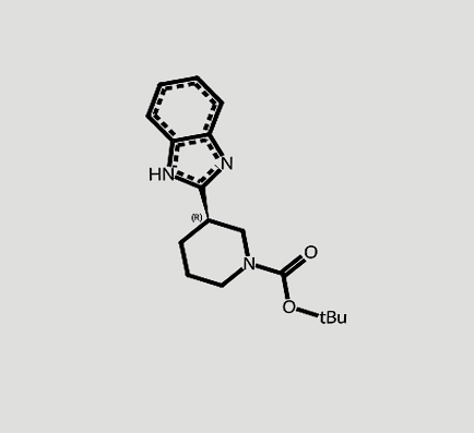 CC(C)(C)OC(=O)N1CCC[C@@H](c2nc3ccccc3[nH]2)C1